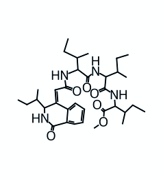 CCC(C)C(NC(=O)C=C1c2ccccc2C(=O)NC1C(C)CC)C(=O)NC(C(=O)NC(C(=O)OC)C(C)CC)C(C)CC